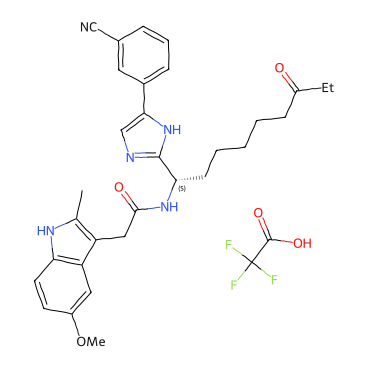 CCC(=O)CCCCC[C@H](NC(=O)Cc1c(C)[nH]c2ccc(OC)cc12)c1ncc(-c2cccc(C#N)c2)[nH]1.O=C(O)C(F)(F)F